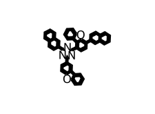 c1ccc2cc(-c3nc(-c4ccc5oc6ccccc6c5c4)nc(-c4ccc(-c5ccc6ccccc6c5)c5oc6ccccc6c45)n3)ccc2c1